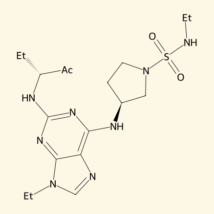 CCNS(=O)(=O)N1CC[C@H](Nc2nc(N[C@H](CC)C(C)=O)nc3c2ncn3CC)C1